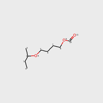 CCC(C)OCCCCOC=O